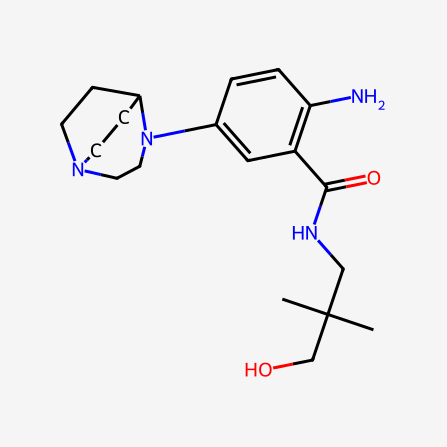 CC(C)(CO)CNC(=O)c1cc(N2CCN3CCC2CC3)ccc1N